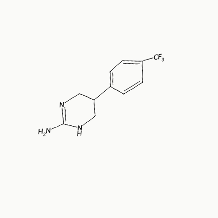 NC1=NCC(c2ccc(C(F)(F)F)cc2)CN1